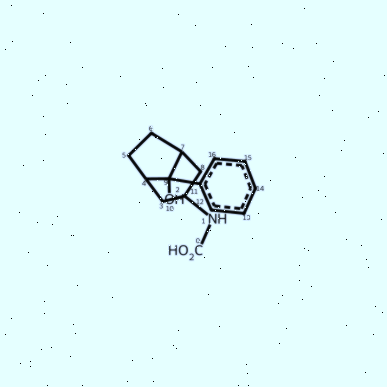 O=C(O)NC1CC2CCC(C1)C2(O)c1ccccc1